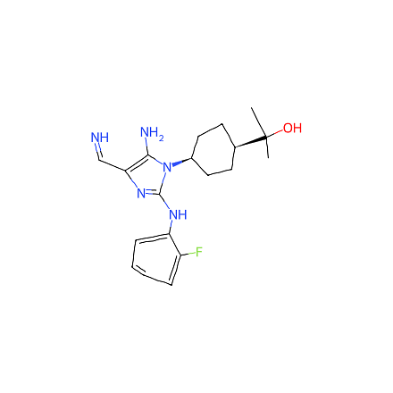 CC(C)(O)[C@H]1CC[C@@H](n2c(Nc3ccccc3F)nc(C=N)c2N)CC1